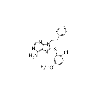 Nc1ncnc2c1nc(Sc1cc(OC(F)(F)F)ccc1Cl)n2CCc1ccccc1